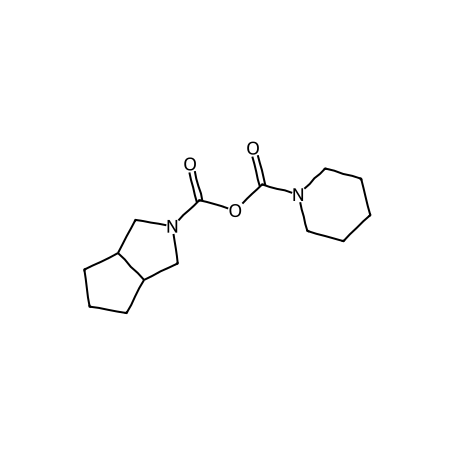 O=C(OC(=O)N1CC2CCCC2C1)N1CCCCC1